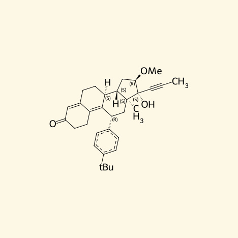 CC#C[C@]1(O)[C@H](OC)C[C@H]2[C@@H]3CCC4=CC(=O)CCC4=C3[C@@H](c3ccc(C(C)(C)C)cc3)C[C@@]21C